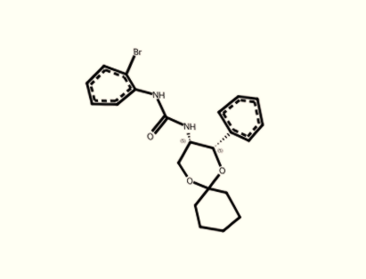 O=C(Nc1ccccc1Br)N[C@H]1COC2(CCCCC2)O[C@H]1c1ccccc1